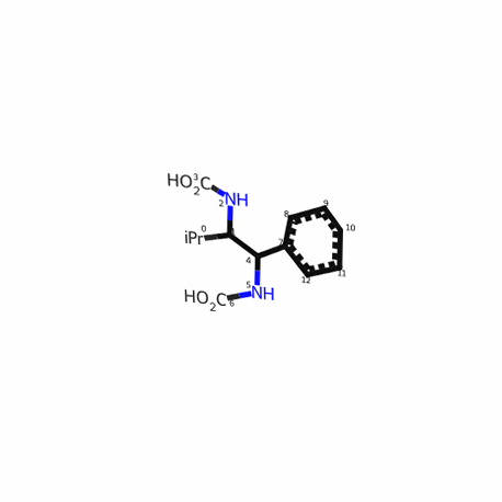 CC(C)C(NC(=O)O)C(NC(=O)O)c1ccccc1